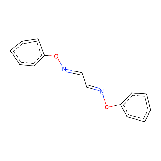 C(/C=N/Oc1ccccc1)=N\Oc1ccccc1